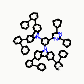 c1ccc(-c2cc(-c3cc(-n4c5ccc(-c6ccccc6-c6ccccc6)cc5c5cc(-c6ccccc6-c6ccccc6)ccc54)cc(-n4c5ccc(-c6ccccc6-c6ccccc6)cc5c5cc(-c6ccccc6-c6ccccc6)ccc54)c3)nc(-c3ccccc3)n2)cc1